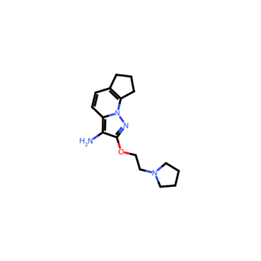 Nc1c(OCCN2CCCC2)nn2c3c(ccc12)CCC3